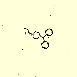 CCNN1CCN(C(c2ccccc2)c2ccccc2)CC1